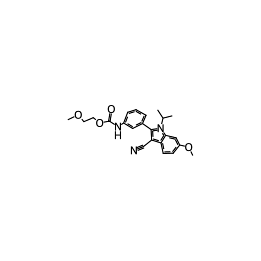 COCCOC(=O)Nc1cccc(-c2c(C#N)c3ccc(OC)cc3n2C(C)C)c1